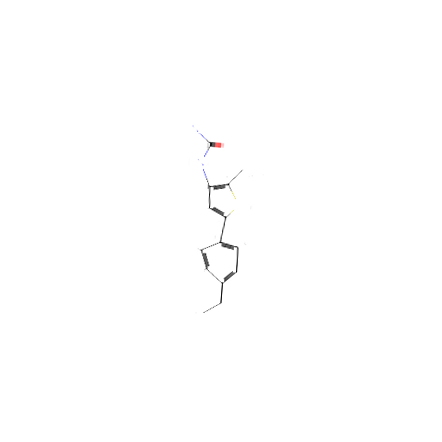 CC(C)Cc1ccc(-c2cc(NC(N)=O)c(C(=O)O)s2)cc1